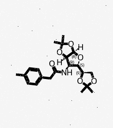 Cc1ccc(CC(=O)N[C@H]2[C@H]3OC(C)(C)O[C@H]3O[C@@H]2[C@H]2COC(C)(C)O2)cc1